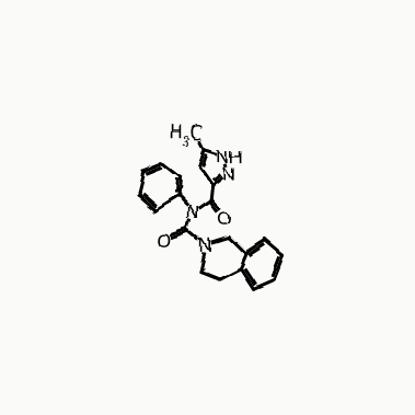 Cc1cc(C(=O)N(C(=O)N2CCc3ccccc3C2)c2ccccc2)n[nH]1